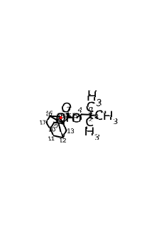 CC(C)(C)COC(=O)C12CC3CC(C1)C(O)C(C3)C2